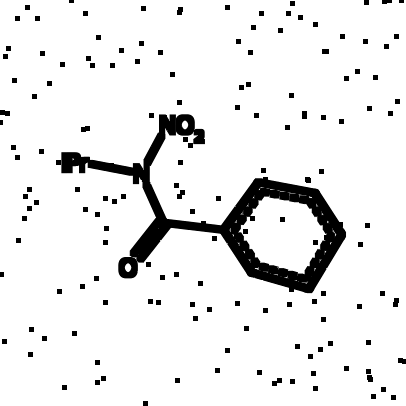 CC(C)N(C(=O)c1ccccc1)[N+](=O)[O-]